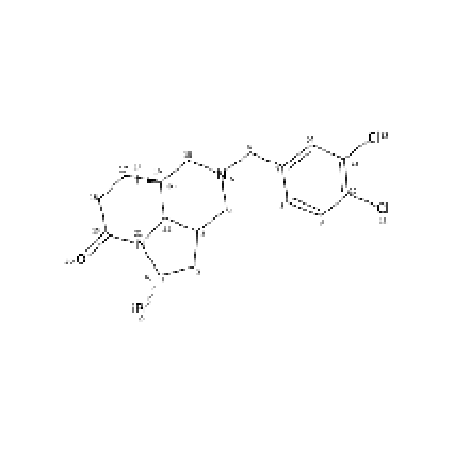 CC(C)[C@H]1CC2CN(Cc3ccc(Cl)c(Cl)c3)C[C@H]3CCC(=O)N1C23